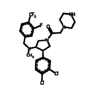 CN(Cc1ccc(C(F)(F)F)c(F)c1)C1CN(C(=O)CN2CCNCC2)CC1c1ccc(Cl)c(Cl)c1